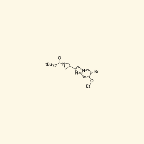 CCOc1cc2nc(C3CN(C(=O)OC(C)(C)C)C3)cn2cc1Br